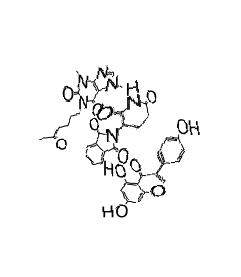 CC(=O)CCCCn1c(=O)c2c(ncn2C)n(C)c1=O.O=C1CCC(N2C(=O)c3ccccc3C2=O)C(=O)N1.O=c1c(-c2ccc(O)cc2)coc2cc(O)cc(O)c12